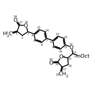 C=C1CC(c2ccc(-c3ccc(OC(CCCCCCCC)C4CC(=C)C(=O)O4)cc3)cc2)OC1=O